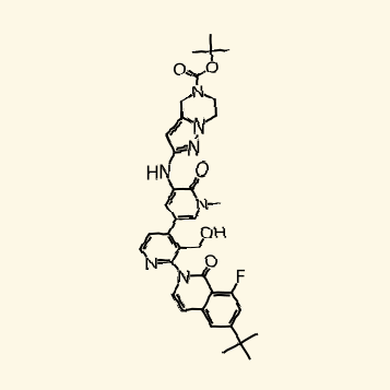 Cn1cc(-c2ccnc(-n3ccc4cc(C(C)(C)C)cc(F)c4c3=O)c2CO)cc(Nc2cc3n(n2)CCN(C(=O)OC(C)(C)C)C3)c1=O